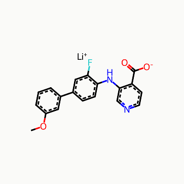 COc1cccc(-c2ccc(Nc3cnccc3C(=O)[O-])c(F)c2)c1.[Li+]